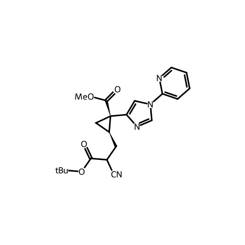 COC(=O)[C@]1(c2cn(-c3ccccn3)cn2)C[C@@H]1CC(C#N)C(=O)OC(C)(C)C